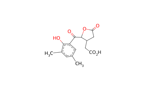 Cc1cc(C)c(O)c(C(=O)C2OC(=O)CC2CC(=O)O)c1